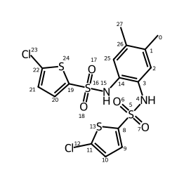 Cc1cc(NS(=O)(=O)c2ccc(Cl)s2)c(NS(=O)(=O)c2ccc(Cl)s2)cc1C